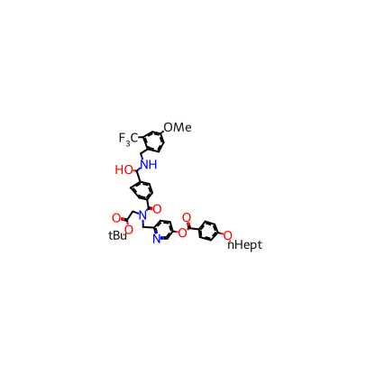 CCCCCCCOc1ccc(C(=O)Oc2ccc(CN(CC(=O)OC(C)(C)C)C(=O)c3ccc(C(O)NCc4ccc(OC)cc4C(F)(F)F)cc3)nc2)cc1